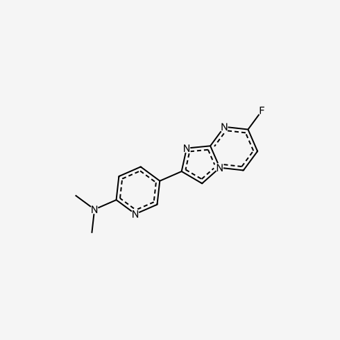 CN(C)c1ccc(-c2cn3ccc(F)nc3n2)cn1